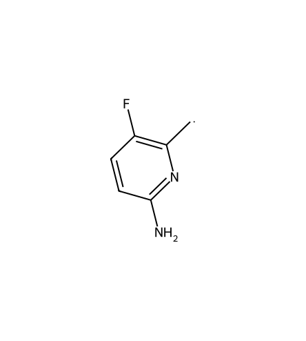 [CH2]c1nc(N)ccc1F